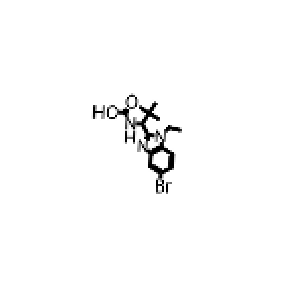 CCn1c(C(NC(=O)O)C(C)(C)C)nc2cc(Br)ccc21